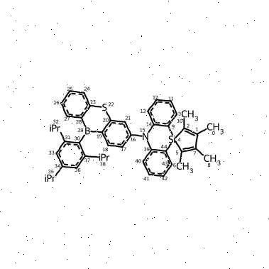 CC1=C(C)[Si]2(C(C)=C1C)c1ccccc1N(c1ccc3c(c1)Sc1ccccc1B3c1c(C(C)C)cc(C(C)C)cc1C(C)C)c1ccccc12